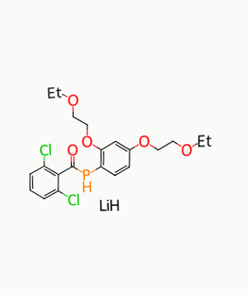 CCOCCOc1ccc(PC(=O)c2c(Cl)cccc2Cl)c(OCCOCC)c1.[LiH]